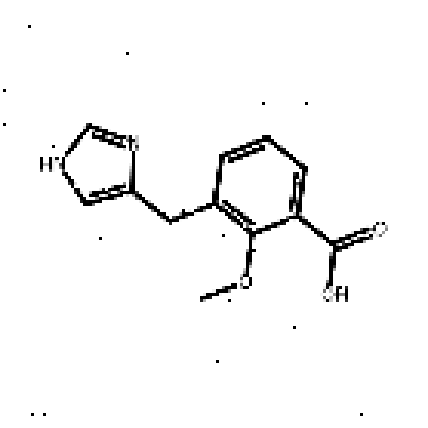 COc1c(Cc2c[nH]cn2)cccc1C(=O)O